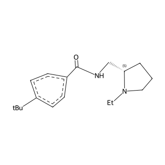 CCN1CCC[C@H]1CNC(=O)c1ccc(C(C)(C)C)cc1